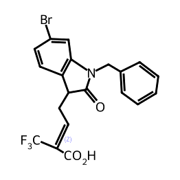 O=C(O)/C(=C/CC1C(=O)N(Cc2ccccc2)c2cc(Br)ccc21)C(F)(F)F